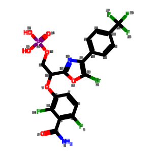 NC(=O)c1c(F)ccc(OC(COP(=O)(O)O)c2nc(-c3ccc(C(F)(F)F)cc3)c(Br)o2)c1F